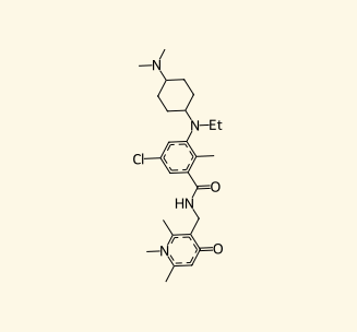 CCN(c1cc(Cl)cc(C(=O)NCc2c(C)n(C)c(C)cc2=O)c1C)C1CCC(N(C)C)CC1